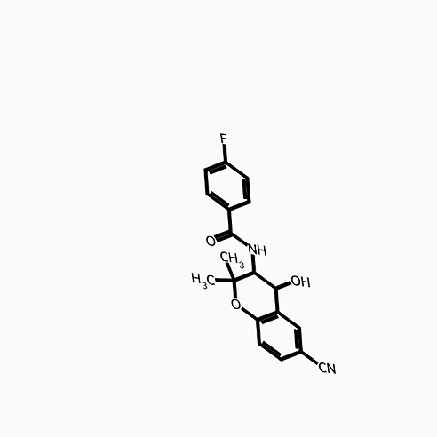 CC1(C)Oc2ccc(C#N)cc2C(O)C1NC(=O)c1ccc(F)cc1